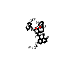 C#Cc1c(F)ccc2cc(OCOC)cc(-c3nc4c5c(nc(OCC67CCCN6C[C@H](OC(F)(F)F)C7)nc5c3F)N3C[C@H]5CC[C@@H]([C@H]3CC4)N5C(=O)OC(C)(C)C)c12